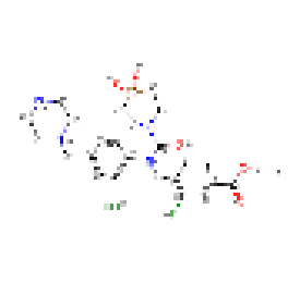 COC(=O)c1ccc(CN(C(=O)N2CCS(=O)(=O)CC2)c2ccc(CN3CCNCC3)cc2)c(F)c1.Cl